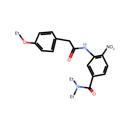 CCOc1ccc(CC(=O)Nc2cc(C(=O)N(CC)CC)ccc2[N+](=O)[O-])cc1